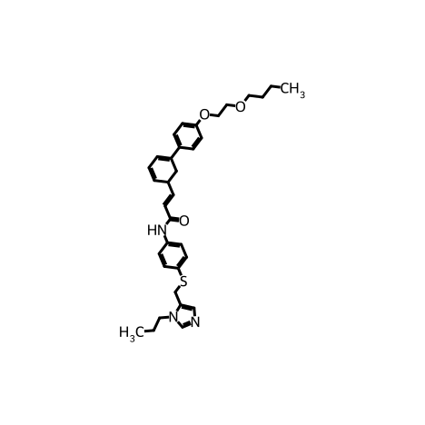 CCCCOCCOc1ccc(C2=CC=CC(/C=C/C(=O)Nc3ccc(SCc4cncn4CCC)cc3)C2)cc1